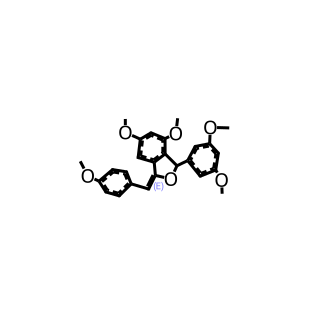 COc1ccc(/C=C2/OC(c3cc(OC)cc(OC)c3)c3c(OC)cc(OC)cc32)cc1